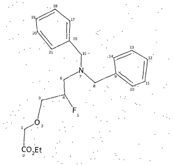 CCOC(=O)COCC(F)CN(Cc1ccccc1)Cc1ccccc1